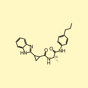 CCCc1ccc(NC(=O)[C@H](C)NC(=O)C2CC2c2nc3ccccc3[nH]2)cc1